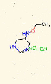 CCONC1CN=CNC1.Cl.Cl